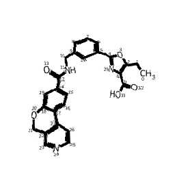 CCc1oc(-c2cccc(CNC(=O)c3ccc4c(c3)OCc3cnccc3-4)c2)nc1C(=O)O